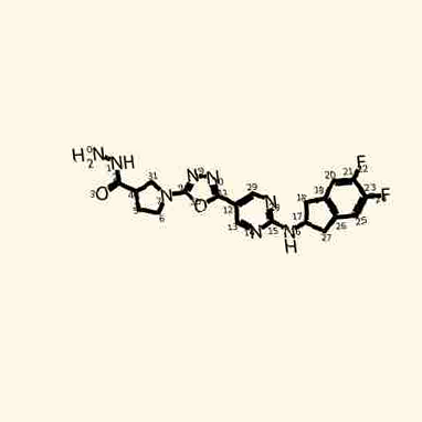 NNC(=O)C1CCN(c2nnc(-c3cnc(NC4Cc5cc(F)c(F)cc5C4)nc3)o2)C1